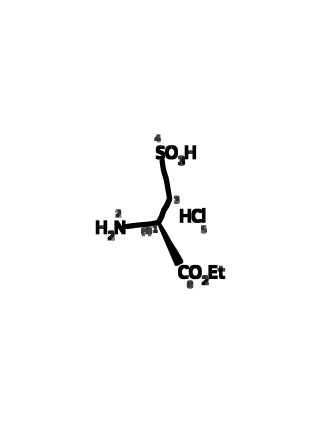 CCOC(=O)[C@@H](N)CS(=O)(=O)O.Cl